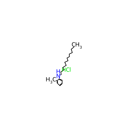 CCCCCCCCCCCCCCNc1ccccc1C.Cl